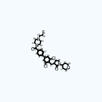 O=C(c1ccc(-c2cc(Cl)c(CC3CCN(C4CCOCC4)C3=O)c(Cl)c2)cc1)N1CCN(CCF)CC1